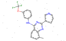 Cc1cccc2c(Nc3cccc(OC(F)(F)F)c3)nc(-c3cccnc3)nc12